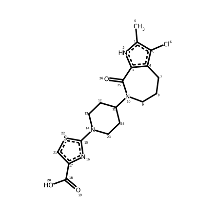 Cc1[nH]c2c(c1Cl)CCCN(C1CCN(c3nc(C(=O)O)cs3)CC1)C2=O